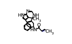 C/C=C/C(=O)NC1CCC=C(C2(C)NC=Nc3[nH]cc(-c4ccccc4)c32)C1